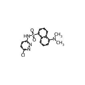 CN(C)c1cccc2c(S(=O)(=O)Nc3ccc(Cl)nn3)cccc12